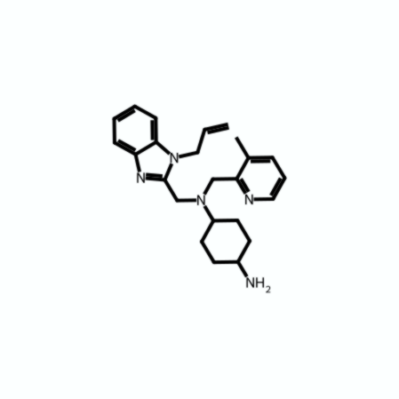 C=CCn1c(CN(Cc2ncccc2C)C2CCC(N)CC2)nc2ccccc21